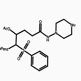 CCCCCC(C(CCC(=O)NN1CCNCC1)OC(C)=O)S(=O)(=O)c1ccccc1